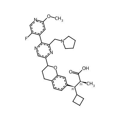 COc1cc(-c2ncc(C3CCc4ccc([C@H](C5CCC5)[C@H](C)C(=O)O)cc4O3)nc2CN2CCCC2)c(F)cn1